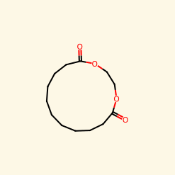 O=C1CCCCCCCCCC(=O)OCCO1